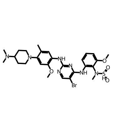 COc1cc(N2CCC(N(C)C)CC2)c(C)cc1Nc1ncc(Br)c(Nc2cccc(OC)c2N(C)[SH](=O)=O)n1